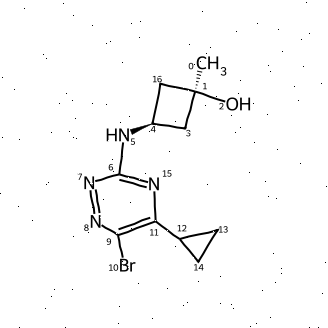 C[C@]1(O)C[C@@H](Nc2nnc(Br)c(C3CC3)n2)C1